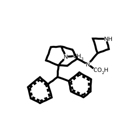 CN1C2CCC1(C(c1ccccc1)c1ccccc1)CC(N(C(=O)O)C1CNC1)C2